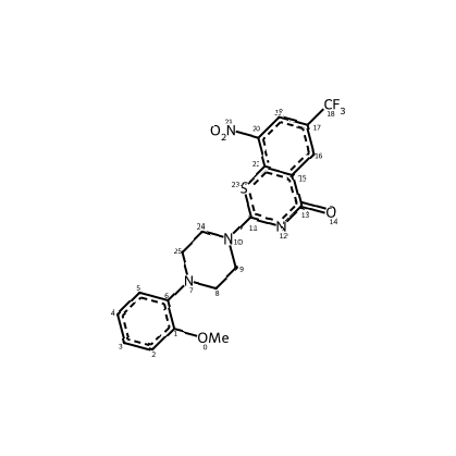 COc1ccccc1N1CCN(c2nc(=O)c3cc(C(F)(F)F)cc([N+](=O)[O-])c3s2)CC1